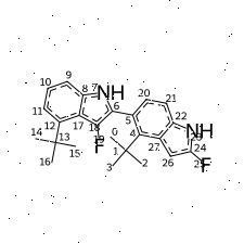 CC(C)(C)c1c(-c2[nH]c3cccc(C(C)(C)C)c3c2F)ccc2[nH]c(F)cc12